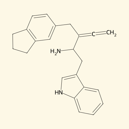 C=C=C(Cc1ccc2c(c1)CCC2)C(N)Cc1c[nH]c2ccccc12